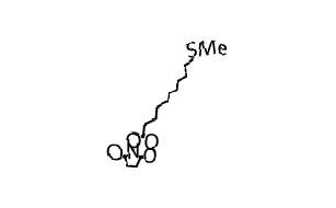 CSCCCCCCCCCCC(=O)ON1C(=O)CCC1=O